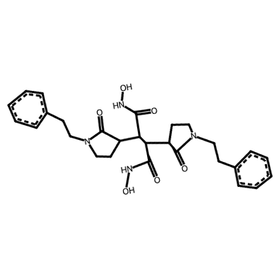 O=C(NO)C(C1CCN(CCc2ccccc2)C1=O)C(C(=O)NO)C1CCN(CCc2ccccc2)C1=O